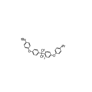 CC(C)c1ccc(Oc2ccc(C(c3ccc(Oc4ccc(C(C)(C)C)cc4)cc3)(C(F)(F)F)C(F)(F)F)cc2)cc1